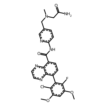 COc1cc(OC)c(Cl)c(-c2ccc(C(=O)Nc3ccc(CN(C)CC(N)=O)cn3)c3nccnc23)c1F